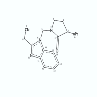 CCCC1CCN(Cn2c(CC#N)nc3ccccc32)C1=O